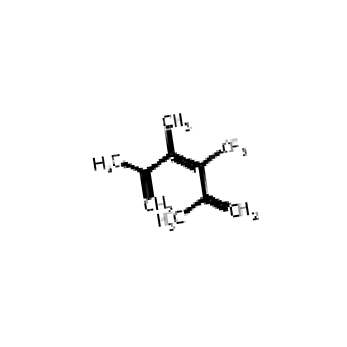 C=C(C)/C(C)=C(\C(=C)C)C(F)(F)F